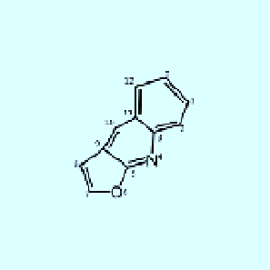 c1ccc2nc3occc3cc2c1